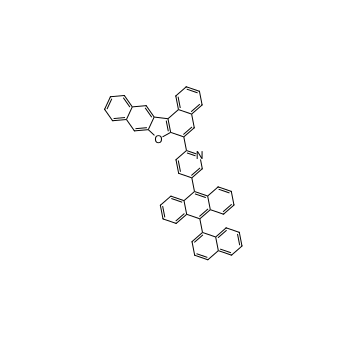 c1ccc2cc3c(cc2c1)oc1c(-c2ccc(-c4c5ccccc5c(-c5cccc6ccccc56)c5ccccc45)cn2)cc2ccccc2c13